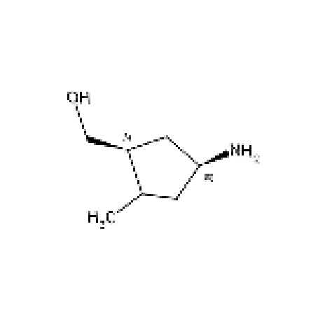 CC1C[C@H](N)C[C@@H]1CO